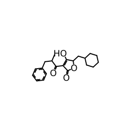 CC(Cc1ccccc1)C(=O)C1=C(O)C(CC2CCCCC2)OC1=O